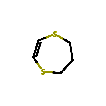 C1=CSCCCS1